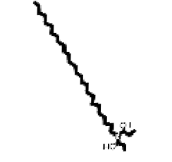 CCCCCCCCCCCCCCCCCCCCCCCCCC=CN(C(O)CC)C(O)CC